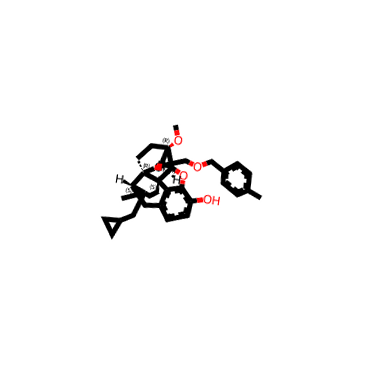 CO[C@]12CC[C@@]3(C[C@@H]1COCc1ccc(C)cc1)[C@H]1Cc4ccc(O)c5c4[C@@]3(CCC1(C)CC1CC1)[C@H]2O5